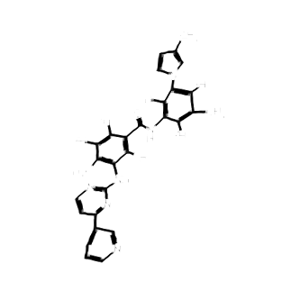 [2H]c1c([2H])c(C(=O)Nc2c([2H])c(C)c([2H])c(-n3ccc(C)c3)c2[2H])c([2H])c(Nc2nccc(-c3cccnc3)n2)c1C